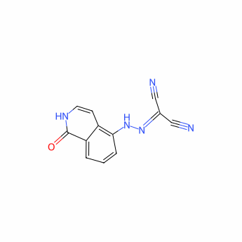 N#CC(C#N)=NNc1cccc2c(=O)[nH]ccc12